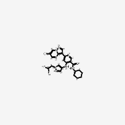 O=C(NC1CCCCC1)c1cnc(-c2cnn3cc(Cl)cnc23)cc1Nc1cnn(CC(F)F)c1